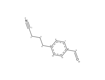 N#CCCCc1ccc(C=O)cc1